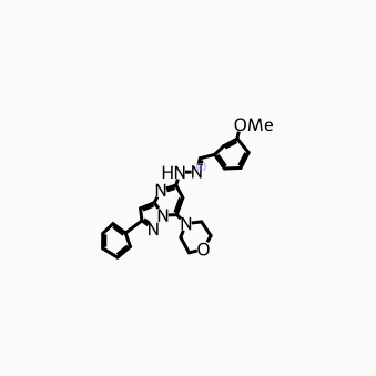 COc1cccc(/C=N/Nc2cc(N3CCOCC3)n3nc(-c4ccccc4)cc3n2)c1